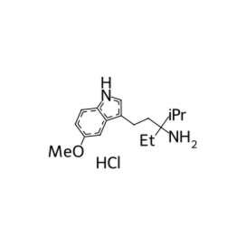 CCC(N)(CCc1c[nH]c2ccc(OC)cc12)C(C)C.Cl